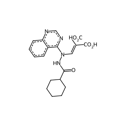 O=C(O)C(=CN(NC(=O)C1CCCCC1)c1ncnc2ccccc12)C(=O)O